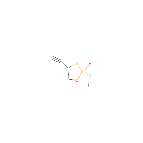 C#CC1COP(=O)(SC)S1